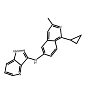 Cc1cc2cc(Nc3n[nH]c4cccnc34)ccc2c(C2CC2)n1